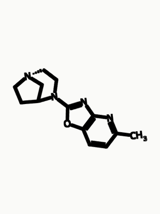 Cc1ccc2oc(N3CC[N@@]4CCC3C4)nc2n1